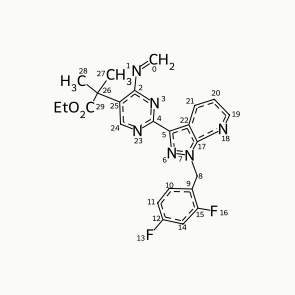 C=Nc1nc(-c2nn(Cc3ccc(F)cc3F)c3ncccc23)ncc1C(C)(C)C(=O)OCC